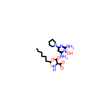 CCCCCCC1OC(=O)C(C(=O)[O-])NS1.Nc1cc(N2CCCCC2)nc(N)[n+]1O